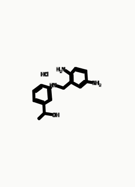 CC(O)c1cccc(NCc2cc(N)ccc2N)c1.Cl